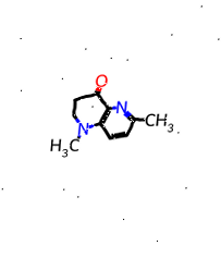 Cc1ccc2c(n1)C(=O)CCN2C